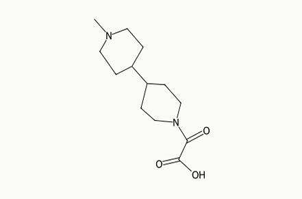 CN1CCC(C2CCN(C(=O)C(=O)O)CC2)CC1